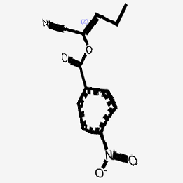 CC/C=C(/C#N)OC(=O)c1ccc([N+](=O)[O-])cc1